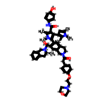 Cc1c(-c2c(C(=O)Nc3ccc(O)cc3)c(C)n(C)c2-c2cc3c(cc2C(=O)N2Cc4ccccc4C[C@H]2C)CN(C(=O)Cc2ccc(OCCN4CCOCC4)cc2)CC3)cc(C#N)n1C